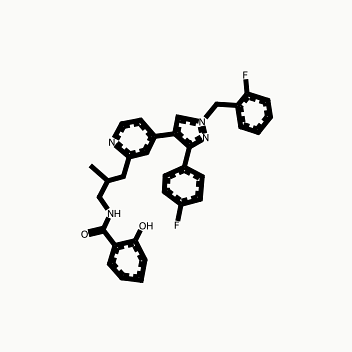 CC(CNC(=O)c1ccccc1O)Cc1cc(-c2cn(Cc3ccccc3F)nc2-c2ccc(F)cc2)ccn1